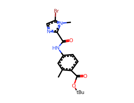 Cc1cc(NC(=O)c2ncc(Br)n2C)ccc1C(=O)OC(C)(C)C